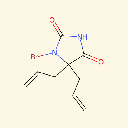 C=CCC1(CC=C)C(=O)NC(=O)N1Br